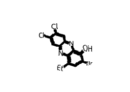 CCc1cc(Br)c(O)c2nc3cc(Cl)c(Cl)cc3nc12